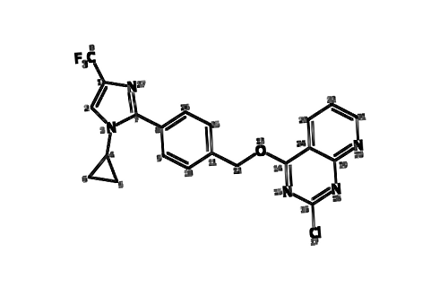 FC(F)(F)c1cn(C2CC2)c(-c2ccc(COc3nc(Cl)nc4ncccc34)cc2)n1